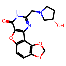 O=c1[nH]c(CN2CC[C@H](O)C2)nc2c1oc1ccc3c(c12)OCO3